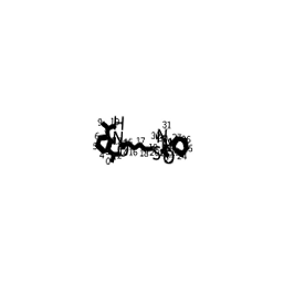 CC(C)c1cccc(C(C)C)c1NC(=O)CCCCCSC1Oc2ccccc2N1N(C)C